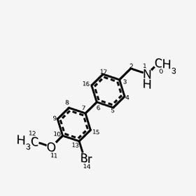 CNCc1ccc(-c2ccc(OC)c(Br)c2)cc1